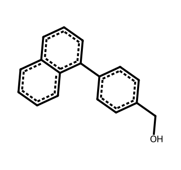 OCc1ccc(-c2cccc3ccccc23)cc1